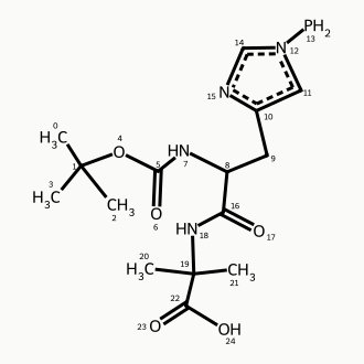 CC(C)(C)OC(=O)NC(Cc1cn(P)cn1)C(=O)NC(C)(C)C(=O)O